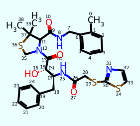 Cc1ccccc1CNC(=O)C1N(C(=O)[C@@H](O)[C@H](Cc2ccccc2)NC(=O)CSc2nccs2)CSC1(C)C